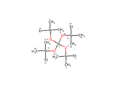 CC[Si](C)(C)O[Si](O[Si](C)(C)CC)(O[Si](C)(C)CC)O[Si](C)(C)CC